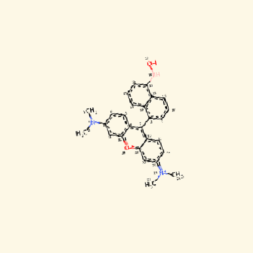 CN(C)c1ccc2c(-c3cccc4c(BO)cccc34)c3ccc(=[N+](C)C)cc-3oc2c1